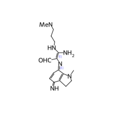 CNCCCN/C(N)=C(C=O)/N=C1\C=CC(=N)C2=C1N(C)CC2